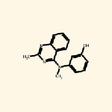 Cc1nc(N(C)c2cccc(O)c2)c2ccccc2n1